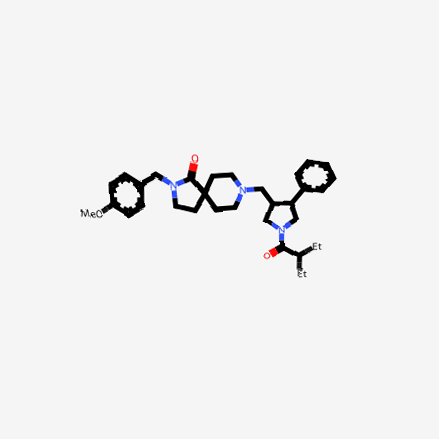 CCC(CC)C(=O)N1CC(CN2CCC3(CC2)CCN(Cc2ccc(OC)cc2)C3=O)C(c2ccccc2)C1